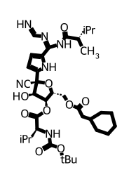 CC(C)[C@H](C)C(=O)N/C(=N/C=N)c1ccc([C@]2(C#N)O[C@H](COC(=O)CC3CCCCC3)[C@@H](OC(=O)[C@@H](NC(=O)OC(C)(C)C)C(C)C)[C@H]2O)[nH]1